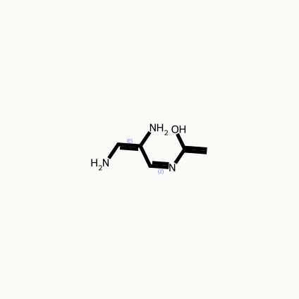 C=C(O)/N=C\C(N)=C/N